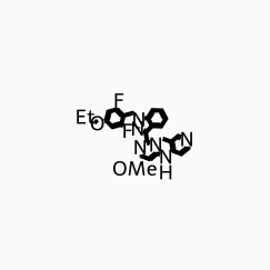 CCOc1cc(F)c(Cn2nc(-c3ncc(OC)c(Nc4ccncc4C)n3)c3ccccc32)c(F)c1